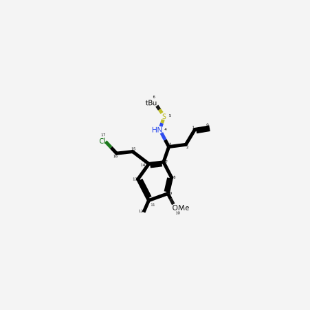 C=CCC(NSC(C)(C)C)c1cc(OC)c(C)cc1CCCl